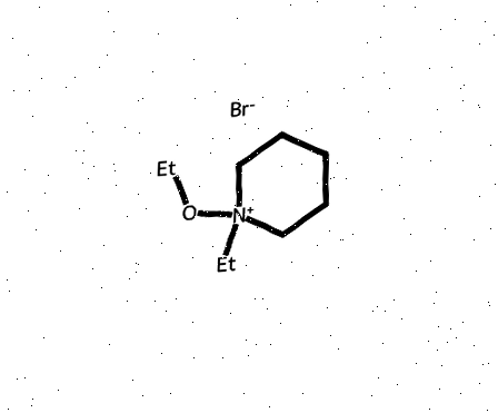 CCO[N+]1(CC)CCCCC1.[Br-]